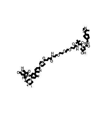 Cc1ncsc1-c1ccc(CNC(=O)[C@@H]2C[C@@H](O)CN2C(=O)[C@@H](NC(=O)CCOCCOCCOCCNC(=O)CCC(=O)N2CCN(c3ccc(-c4cc(NC(=O)c5c[nH]c(=O)cc5C(F)(F)F)c(N5C[C@@H](C)N(C)[C@@H](C)C5)cc4F)cn3)CC2)C(C)(C)C)cc1